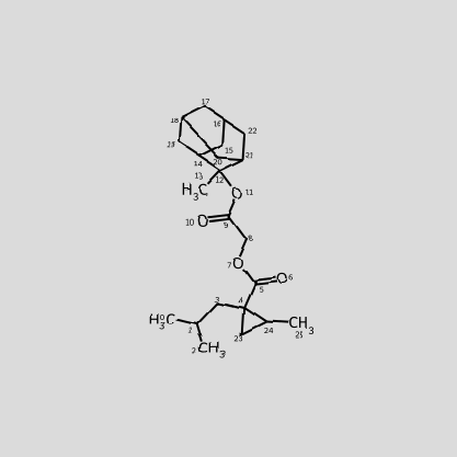 CC(C)CC1(C(=O)OCC(=O)OC2(C)C3CC4CC(C3)CC2C4)CC1C